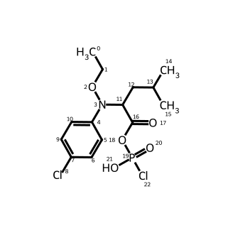 CCON(c1ccc(Cl)cc1)C(CC(C)C)C(=O)OP(=O)(O)Cl